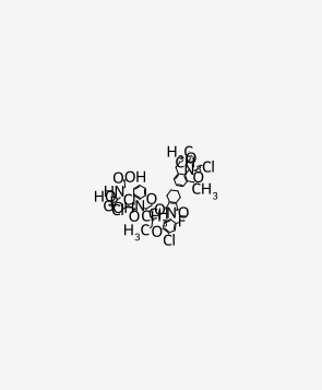 C#CC(C)Oc1cc(N2C(=O)C3=C(CCCC3)C2=O)c(F)cc1Cl.CC1COc2ccccc2N1C(=O)C(Cl)Cl.CCc1cccc(CC)c1N(COC)C(=O)CCl.O=C(O)CNCP(=O)(O)O